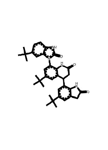 CC(C)(C)c1cc2c(c(C3CC(=O)Nc4c3cc(C(C)(C)C)cc4-n3c(=O)[nH]c4ccc(C(C)(C)C)cc43)c1)NC(=O)C2